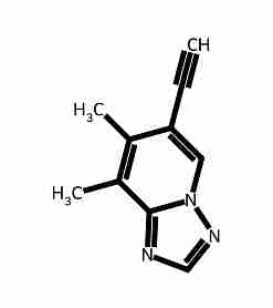 C#Cc1cn2ncnc2c(C)c1C